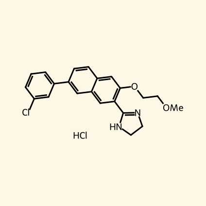 COCCOc1cc2ccc(-c3cccc(Cl)c3)cc2cc1C1=NCCN1.Cl